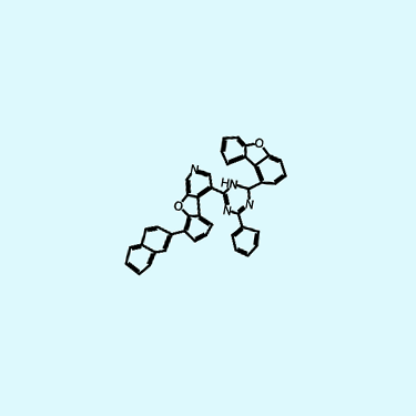 c1ccc(C2=NC(c3cccc4oc5ccccc5c34)NC(c3cncc4oc5c(-c6ccc7ccccc7c6)cccc5c34)=N2)cc1